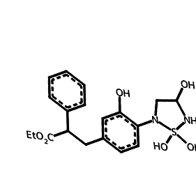 CCOC(=O)C(Cc1ccc(N2CC(O)NS2(O)O)c(O)c1)c1ccccc1